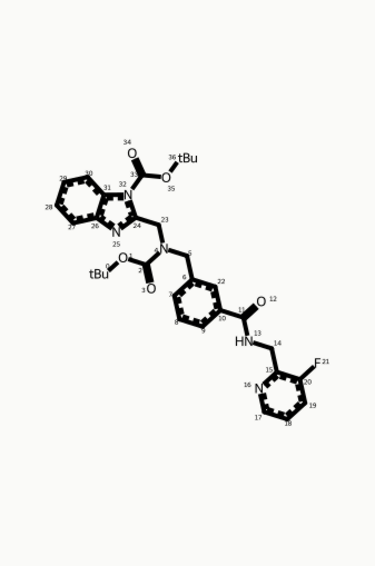 CC(C)(C)OC(=O)N(Cc1cccc(C(=O)NCc2ncccc2F)c1)Cc1nc2ccccc2n1C(=O)OC(C)(C)C